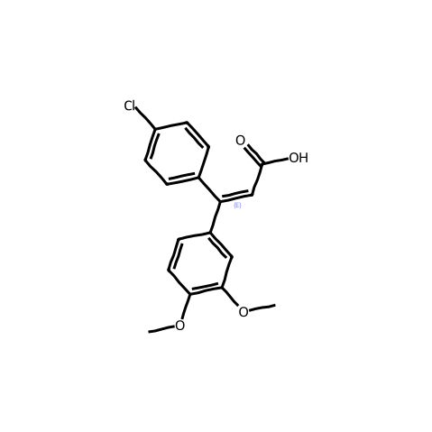 COc1ccc(/C(=C/C(=O)O)c2ccc(Cl)cc2)cc1OC